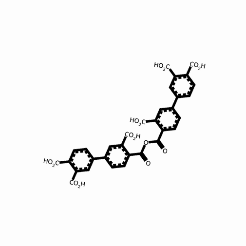 O=C(O)c1ccc(-c2ccc(C(=O)OC(=O)c3ccc(-c4ccc(C(=O)O)c(C(=O)O)c4)cc3C(=O)O)c(C(=O)O)c2)cc1C(=O)O